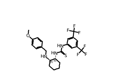 COc1ccc(CN[C@@H]2CCCC[C@H]2NC(=S)Nc2cc(C(F)(F)F)cc(C(F)(F)F)c2)cc1